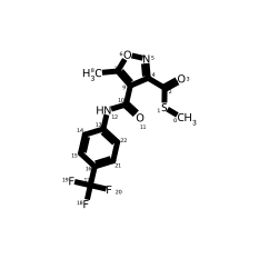 CSC(=O)c1noc(C)c1C(=O)Nc1ccc(C(F)(F)F)cc1